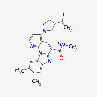 C=C(I)C1CCN(c2ccnc3c2cc(C(=O)NC)c2nc4cc(C)c(C)cc4n23)C1